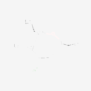 CCC1C[CH2][Al]([CH2]C)[Al]([CH2]C)[O]1.Cl